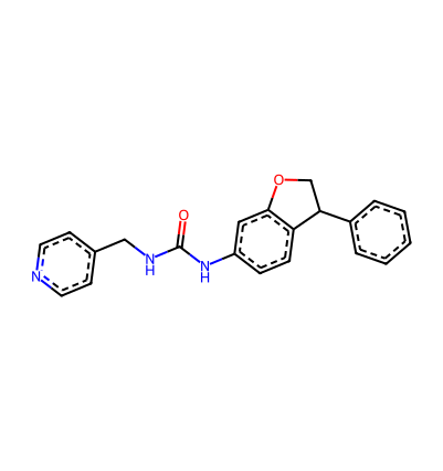 O=C(NCc1ccncc1)Nc1ccc2c(c1)OCC2c1ccccc1